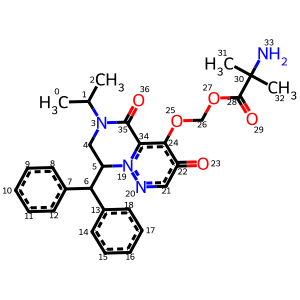 CC(C)N1CC(C(c2ccccc2)c2ccccc2)n2ncc(=O)c(OCOC(=O)C(C)(C)N)c2C1=O